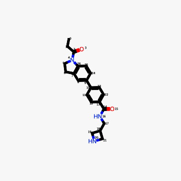 CCC(=O)N1CCc2cc(-c3ccc(C(=O)NCC4CNC4)cc3)ccc21